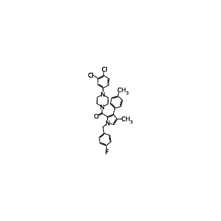 Cc1ccc(-c2c(C)cn(Cc3ccc(F)cc3)c2C(=O)N2CCN(c3ccc(Cl)c(Cl)c3)CC2)cc1